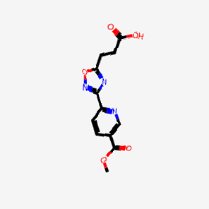 COC(=O)c1ccc(-c2noc(CCC(=O)O)n2)nc1